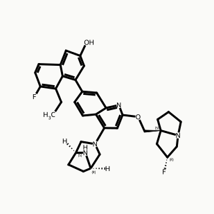 CCc1c(F)ccc2cc(O)cc(-c3ccc4c(N5C[C@H]6CC[C@@H](C5)N6)cc(OC[C@@]56CCCN5C[C@H](F)C6)nc4c3)c12